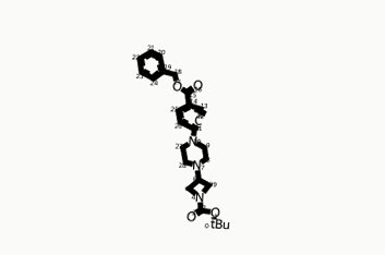 CC(C)(C)OC(=O)N1CC(N2CCN(c3ccc(C(=O)OCc4ccccc4)cc3)CC2)C1